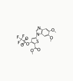 COC(=O)c1sc(-n2cnc3cc(OC)c(OC)cc32)cc1OS(=O)(=O)C(F)(F)F